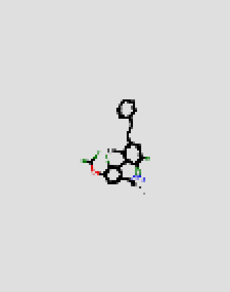 C=C(N)c1ccc(OC(F)F)c(F)c1-c1c(Cl)c(F)cc(CCc2ccccc2)c1CC